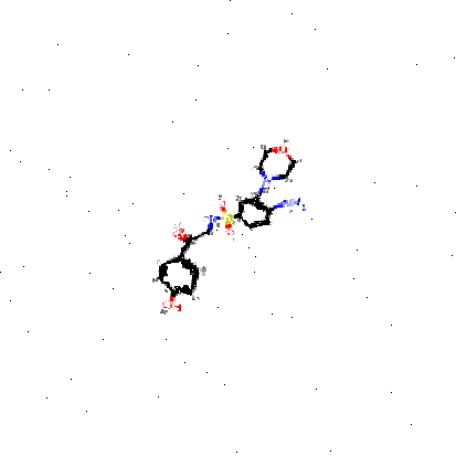 Nc1ccc(S(=O)(=O)NCC(=O)c2ccc(O)cc2)cc1N1CCOCC1